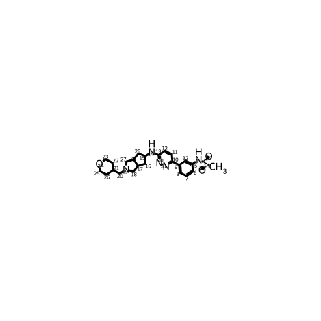 CS(=O)(=O)Nc1cccc(-c2ccc(NC3CC4CN(CC5CCOCC5)CC4C3)nn2)c1